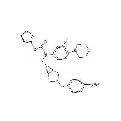 CSc1ccc(CN2CC3C(C2)C3CN(C(=O)Oc2cccs2)c2ccc(N3CCOCC3)c(F)c2)cc1